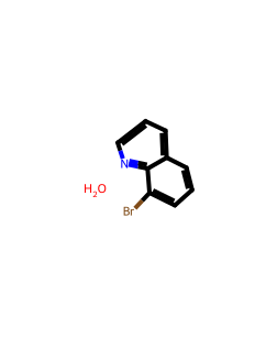 Brc1cccc2cccnc12.O